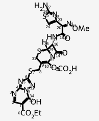 CCOC(=O)c1cnc2nc(SCC3=C(OC(=O)O)N4C(=O)[C@@H](NC(=O)/C(=N\OC)c5csc(N)n5)[C@H]4SC3)nn2c1O